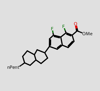 CCCCCC1CCC2CC(c3cc(F)c4c(F)c(C(=O)OC)ccc4c3)CCC2C1